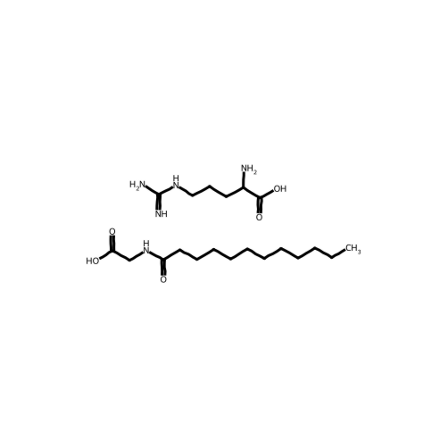 CCCCCCCCCCCC(=O)NCC(=O)O.N=C(N)NCCCC(N)C(=O)O